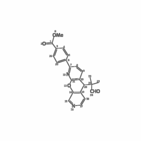 COC(=O)c1ccc(-c2ccc3c(n2)Oc2cnccc2C3C(C)(C)C=O)cc1